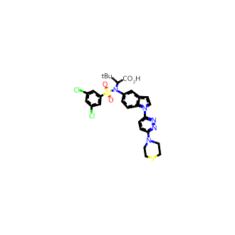 CC(C)(C)C(C(=O)O)N(c1ccc2c(ccn2-c2ccc(N3CCSCC3)nn2)c1)S(=O)(=O)c1cc(Cl)cc(Cl)c1